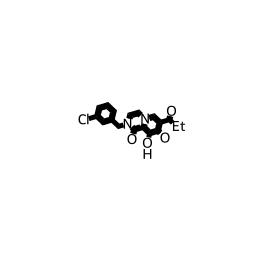 CCC(=O)c1cn2ccn(Cc3cccc(Cl)c3)c(=O)c2c(O)c1=O